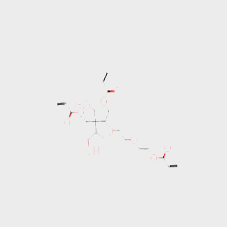 C=CC(=O)OCCOCCOC(COC(=O)C=C)C(CO)(COC(=O)C=C)C(C)CO